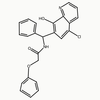 O=C(COc1ccccc1)NC(c1ccccc1)c1cc(Cl)c2cccnc2c1O